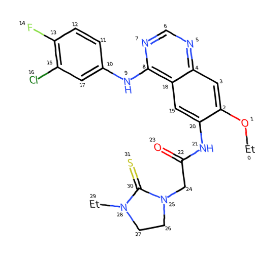 CCOc1cc2ncnc(Nc3ccc(F)c(Cl)c3)c2cc1NC(=O)CN1CCN(CC)C1=S